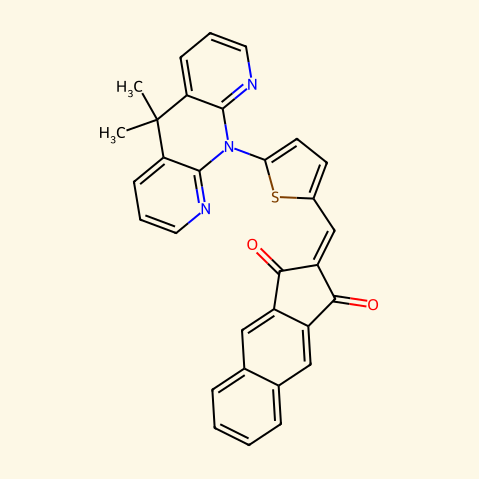 CC1(C)c2cccnc2N(c2ccc(C=C3C(=O)c4cc5ccccc5cc4C3=O)s2)c2ncccc21